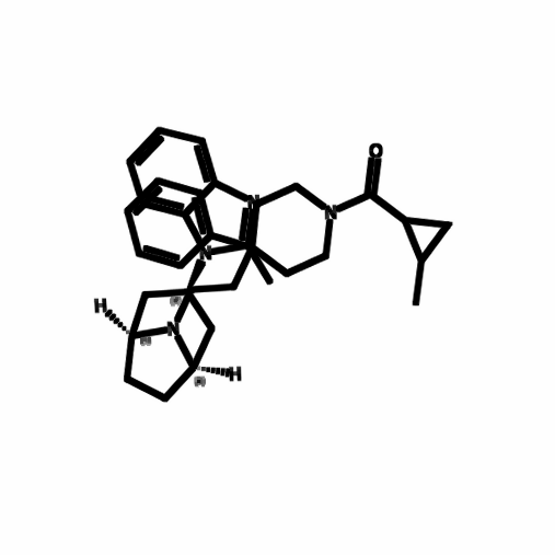 Cc1nc2ccccc2n1[C@H]1C[C@H]2CC[C@@H](C1)N2CCC1(c2ccccc2)CCN(C(=O)C2CC2C)CC1